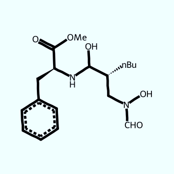 CCCC[C@H](CN(O)C=O)C(O)N[C@@H](Cc1ccccc1)C(=O)OC